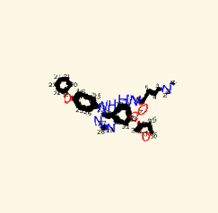 CN(C)CC=CC(=O)Nc1cc2c(Nc3ccc(Oc4ccccc4)cc3)ncnc2cc1OC1CCOC1